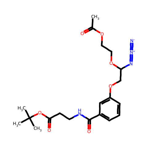 CC(=O)OCCOC(COc1cccc(C(=O)NCCC(=O)OC(C)(C)C)c1)N=[N+]=[N-]